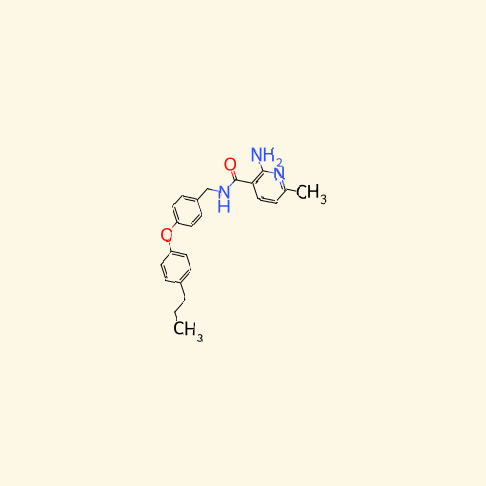 CCCc1ccc(Oc2ccc(CNC(=O)c3ccc(C)nc3N)cc2)cc1